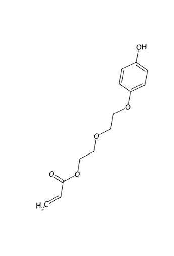 C=CC(=O)OCCOCCOc1ccc(O)cc1